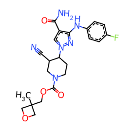 CC1(COC(=O)N2CCC(n3cc(C(N)=O)c(Nc4ccc(F)cc4)n3)C(C#N)C2)COC1